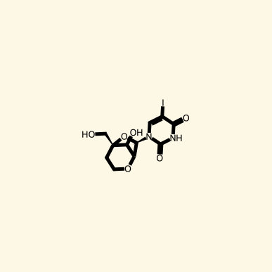 O=c1[nH]c(=O)n([C@@H]2O[C@@]3(CO)CCOC2C3O)cc1I